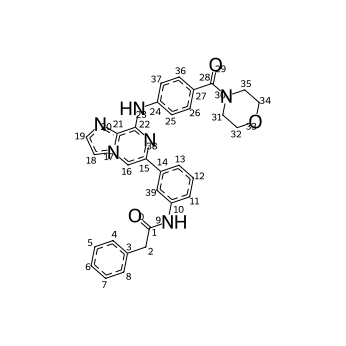 O=C(Cc1ccccc1)Nc1cccc(-c2cn3ccnc3c(Nc3ccc(C(=O)N4CCOCC4)cc3)n2)c1